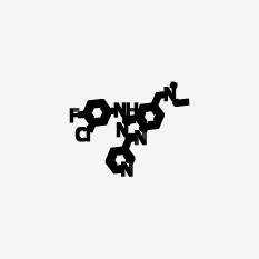 CCN(C)Cc1ccc2nc(-c3cccnc3)nc(Nc3ccc(F)c(Cl)c3)c2c1